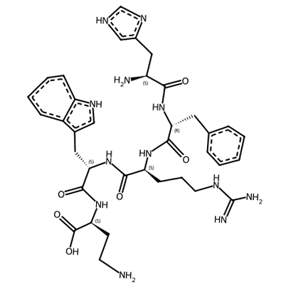 N=C(N)NCCC[C@H](NC(=O)[C@@H](Cc1ccccc1)NC(=O)[C@@H](N)Cc1c[nH]cn1)C(=O)N[C@@H](Cc1c[nH]c2ccccc12)C(=O)N[C@@H](CCN)C(=O)O